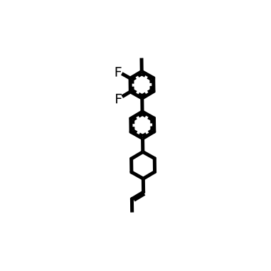 CC=CC1CCC(c2ccc(-c3ccc(C)c(F)c3F)cc2)CC1